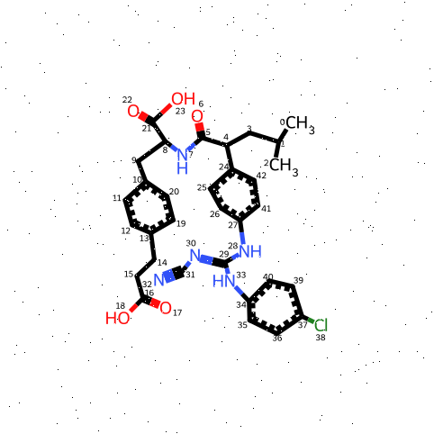 CC(C)CC(C(=O)NC(Cc1ccc(CCC(=O)O)cc1)C(=O)O)c1ccc(NC(=NC#N)Nc2ccc(Cl)cc2)cc1